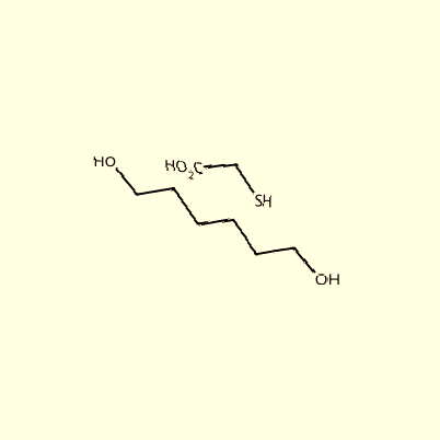 O=C(O)CS.OCCCCCCO